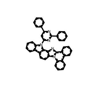 c1ccc(-c2cc(-n3c4ccccc4c4ccc5c(nc6c7ccccc7c7ccccc7n56)c43)nc(-c3ccccc3)n2)cc1